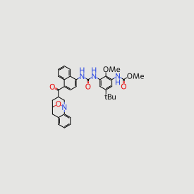 COC(=O)Nc1cc(C(C)(C)C)cc(NC(=O)Nc2ccc(C(=O)C3CC4Cc5ccccc5N(C3)O4)c3ccccc23)c1OC